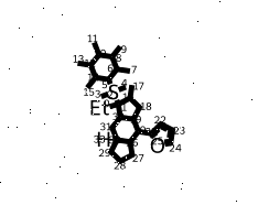 CCC1(S(C)(C)C2C(C)C(C)C(C)C(C)C2C)C(C)CC2C(c3ccco3)C3CCC[C@H]3CC21